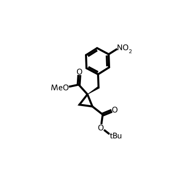 COC(=O)[C@@]1(Cc2cccc([N+](=O)[O-])c2)CC1C(=O)OC(C)(C)C